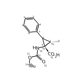 C[C@H]1C(c2ccccc2)[C@]1(NC(=O)OC(C)(C)C)C(=O)O